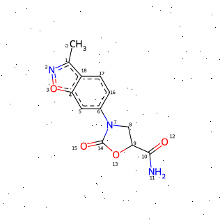 Cc1noc2cc(N3CC(C(N)=O)OC3=O)ccc12